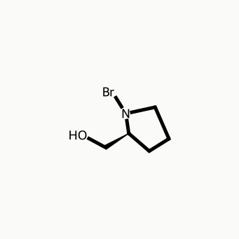 OC[C@@H]1CCCN1Br